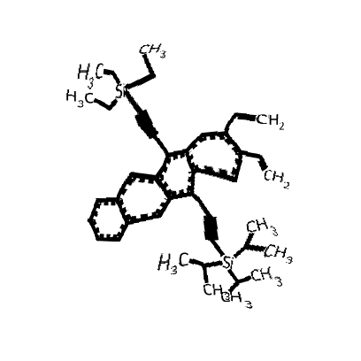 C=Cc1cc2c(C#C[Si](CC)(CC)CC)c3cc4ccccc4cc3c(C#C[Si](C(C)C)(C(C)C)C(C)C)c2cc1C=C